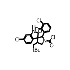 CC(C)(C)CC1CN(C(=O)Cl)C(c2cccc(Cl)c2F)C12C(=O)Nc1cc(Cl)ccc12